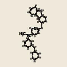 CN(c1ccc(Cc2ccc3sc4ccccc4c3c2)cc1)c1cccc(Cc2ccccc2)c1